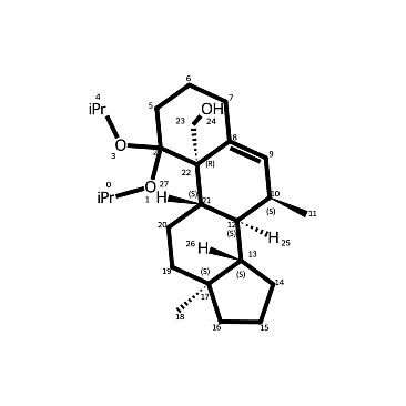 CC(C)OC1(OC(C)C)CCCC2=C[C@@H](C)[C@H]3[C@@H]4CCC[C@@]4(C)CC[C@@H]3[C@]21CO